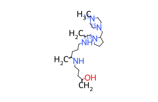 C=C(O)CCCNC(=C)CCCNC(=C)C[15N]1CCCC1C[15N]1CC[15N](C)CC1